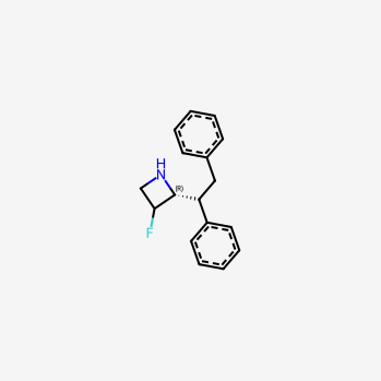 FC1CN[C@@H]1C(Cc1ccccc1)c1ccccc1